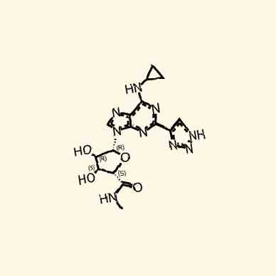 CNC(=O)[C@H]1O[C@@H](n2cnc3c(NC4CC4)nc(-c4c[nH]nn4)nc32)[C@H](O)[C@@H]1O